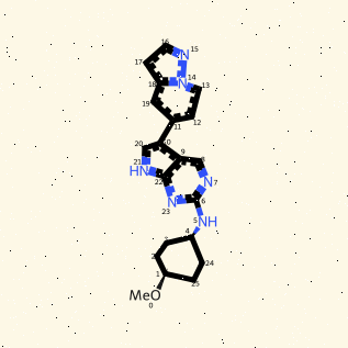 CO[C@H]1CC[C@@H](Nc2ncc3c(-c4ccn5nccc5c4)c[nH]c3n2)CC1